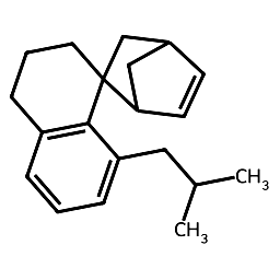 CC(C)Cc1cccc2c1C1(CCC2)CC2C=CC1C2